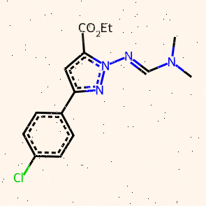 CCOC(=O)c1cc(-c2ccc(Cl)cc2)nn1N=CN(C)C